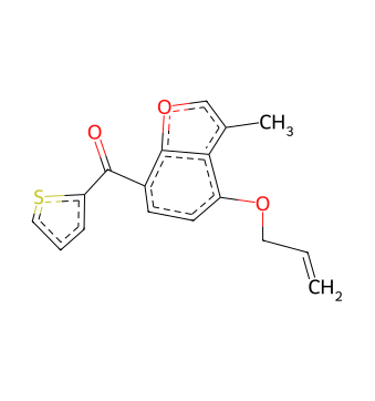 C=CCOc1ccc(C(=O)c2cccs2)c2occ(C)c12